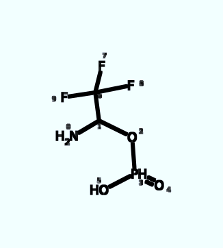 NC(O[PH](=O)O)C(F)(F)F